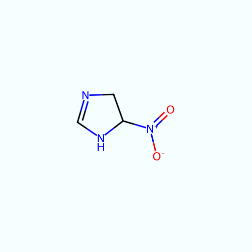 O=[N+]([O-])C1CN=CN1